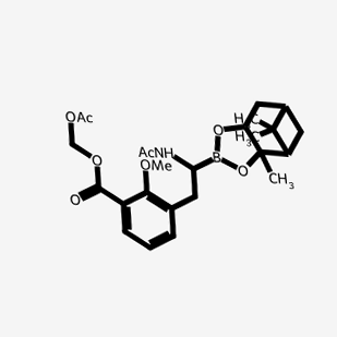 COc1c(CC(NC(C)=O)B2OC3CC4CC(C4(C)C)C3(C)O2)cccc1C(=O)OCOC(C)=O